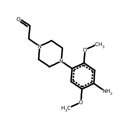 COc1cc(N2CCN(CC=O)CC2)c(OC)cc1N